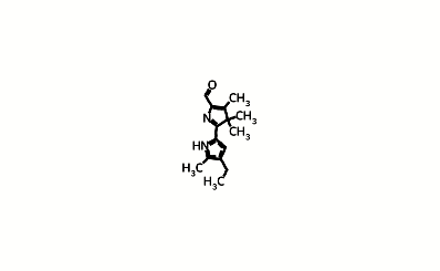 CCc1cc(C2=NC(C=O)=C(C)C2(C)C)[nH]c1C